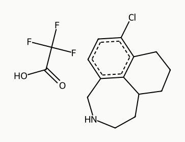 Clc1ccc2c3c1CCCC3CCNC2.O=C(O)C(F)(F)F